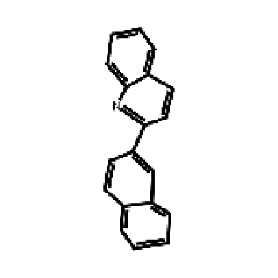 [c]1ccc2ccc(-c3ccc4ccccc4c3)nc2c1